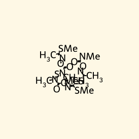 CNC(=O)ON=C(C)SC.CSC(C)=NOC(=O)N(C)SN(C)C(=O)ON=C(C)SC